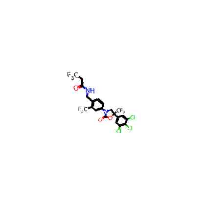 O=C(CC(F)(F)F)NCc1ccc(N2CC(c3cc(Cl)c(Cl)c(Cl)c3)(C(F)(F)F)OC2=O)cc1C(F)(F)F